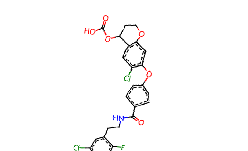 O=C(O)OC1CCOc2cc(Oc3ccc(C(=O)NCCc4cc(Cl)ccc4F)cc3)c(Cl)cc21